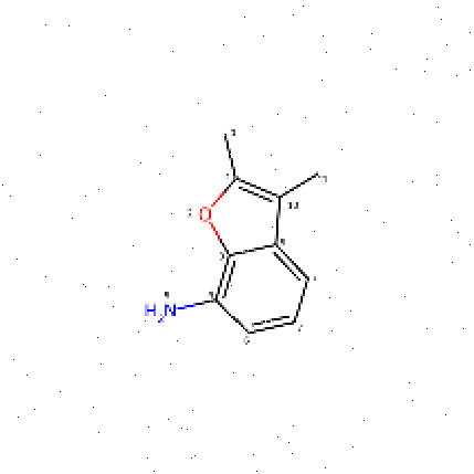 Cc1oc2c(N)cccc2c1C